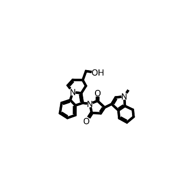 Cn1cc(C2=CC(=O)N(c3c4n(c5ccccc35)C=CC(CO)C4)C2=O)c2c1CCC=C2